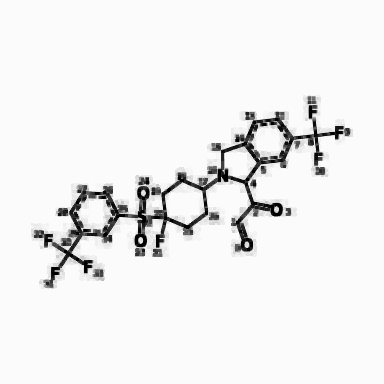 O=CC(=O)C1c2cc(C(F)(F)F)ccc2CN1C1CCC(F)(S(=O)(=O)c2cccc(C(F)(F)F)c2)CC1